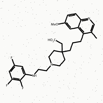 COc1ccc2ncc(C)c(CCCC3(CC(=O)O)CCN(CCNc4cc(F)cc(F)c4F)CC3)c2c1